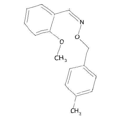 COc1ccccc1/[C]=N\OCc1ccc(C)cc1